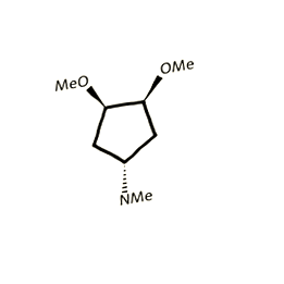 CN[C@H]1C[C@H](OC)[C@H](OC)C1